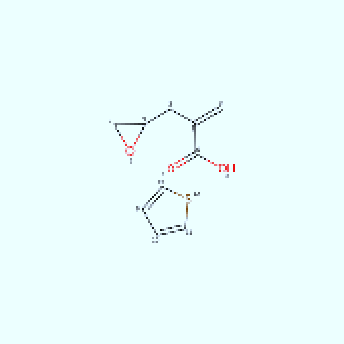 C=C(CC1CO1)C(=O)O.c1ccsc1